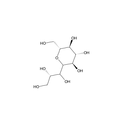 OC[C@H](O)C(O)C1O[C@H](CO)[C@@H](O)[C@H](O)[C@H]1O